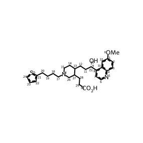 COc1ccc2nccc([C@@H](O)CCC3CCN(CCCCc4cccs4)CC3CCC(=O)O)c2c1